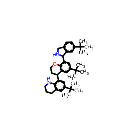 CC(C)(C)c1cc2c(c(C3CCOc4c3cc(C(C)(C)C)cc4C3NCc4ccc(C(C)(C)C)cc43)c1)NCCC2